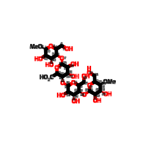 CO[C@@H]1OC(CO)[C@@H](O[C@@H]2OC(C(=O)O)[C@@H](O[C@H]3OC(CO)[C@H](O[C@H]4OC(CO)[C@@H](OC)[C@H](O)C4O)[C@H](O)C3O)[C@H](O)C2O)[C@H](O)C1O